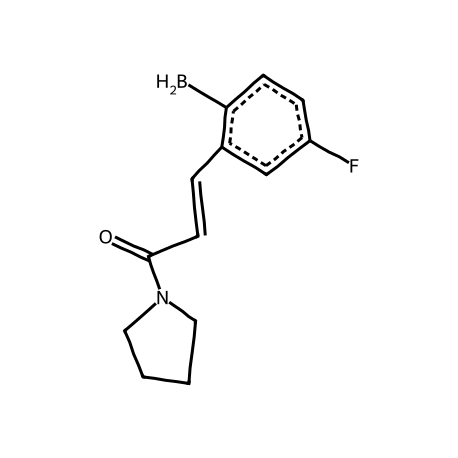 Bc1ccc(F)cc1/C=C/C(=O)N1CCCC1